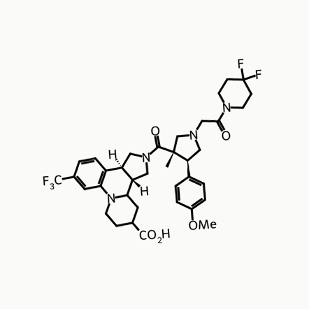 COc1ccc([C@@H]2CN(CC(=O)N3CCC(F)(F)CC3)C[C@@]2(C)C(=O)N2C[C@@H]3c4ccc(C(F)(F)F)cc4N4CCC(C(=O)O)CC4[C@H]3C2)cc1